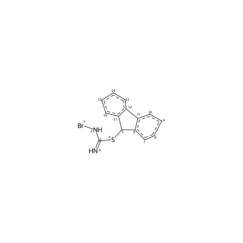 N=C(NBr)SC1c2ccccc2-c2ccccc21